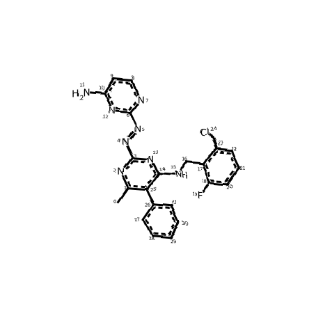 Cc1nc(N=Nc2nccc(N)n2)nc(NCc2c(F)cccc2Cl)c1-c1ccccc1